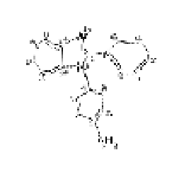 Nc1ccc(-n2c(-c3ccccc3)nc3ccccc32)cc1